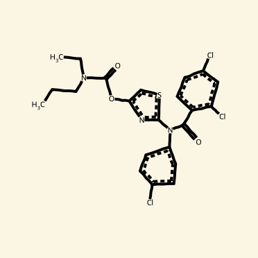 CCCN(CC)C(=O)Oc1csc(N(C(=O)c2ccc(Cl)cc2Cl)c2ccc(Cl)cc2)n1